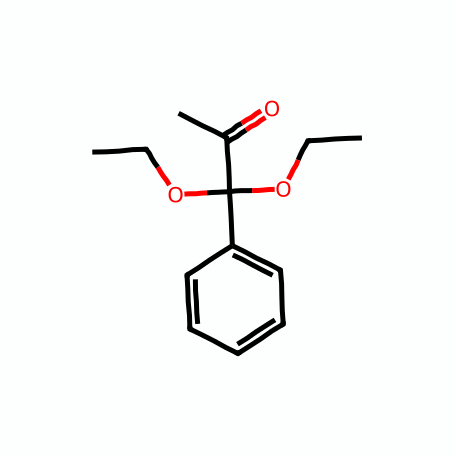 CCOC(OCC)(C(C)=O)c1ccccc1